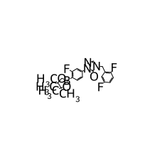 CC1(C)OB(c2ccc(-n3ncn(Cc4cc(F)ccc4F)c3=O)cc2F)OC1(C)C